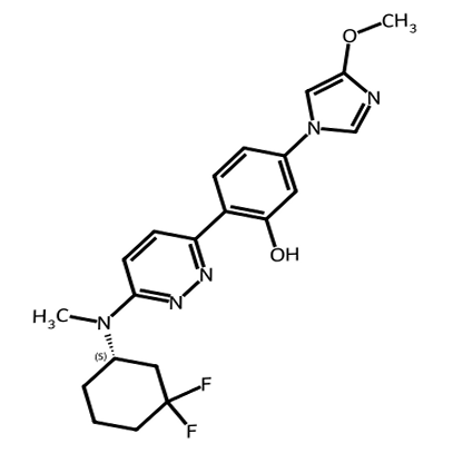 COc1cn(-c2ccc(-c3ccc(N(C)[C@H]4CCCC(F)(F)C4)nn3)c(O)c2)cn1